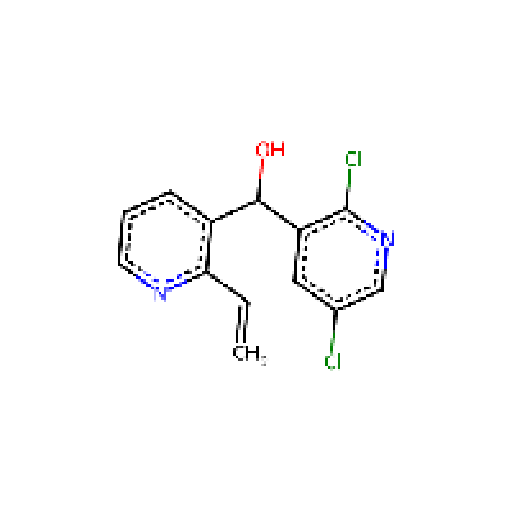 C=Cc1ncccc1C(O)c1cc(Cl)cnc1Cl